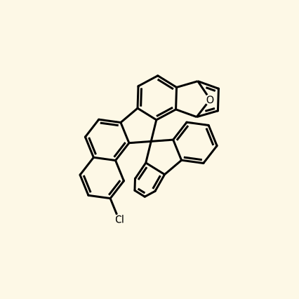 Clc1ccc2ccc3c(c2c1)C1(c2ccccc2-c2ccccc21)c1c-3ccc2c3ccc(o3)c12